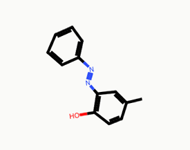 Cc1ccc(O)c(N=Nc2ccccc2)c1